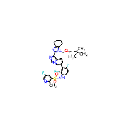 Cc1ncc(F)cc1S(=O)(=O)Nc1ccc(F)c(-c2ccc3c(-c4nc5c(n4COCC[Si](C)(C)C)CCCC5)ncn3c2)c1F